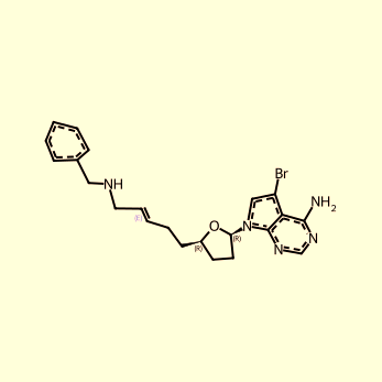 Nc1ncnc2c1c(Br)cn2[C@H]1CC[C@@H](CC/C=C/CNCc2ccccc2)O1